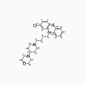 Clc1ccc2c(c1)N(CCCCN1CCC(N3CCOCC3)CC1)c1ccccc1S2